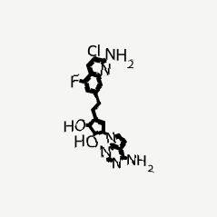 Nc1nc2cc(CCC3=CC(n4ccc5c(N)ncnc54)[C@@H](O)C3O)cc(F)c2cc1Cl